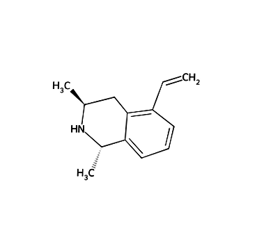 C=Cc1cccc2c1C[C@H](C)N[C@H]2C